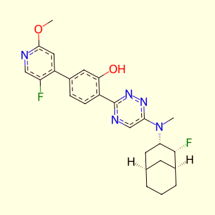 COc1cc(-c2ccc(-c3ncc(N(C)[C@H]4C[C@@H]5CCC[C@@H](C5)[C@H]4F)nn3)c(O)c2)c(F)cn1